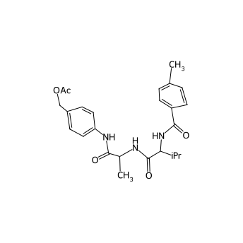 CC(=O)OCc1ccc(NC(=O)C(C)NC(=O)C(NC(=O)c2ccc(C)cc2)C(C)C)cc1